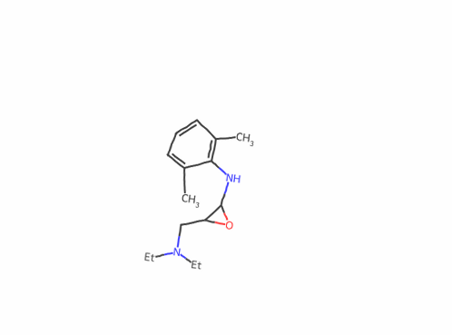 CCN(CC)CC1OC1Nc1c(C)cccc1C